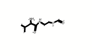 CC(C)C(N)C(=O)NCCOC=O